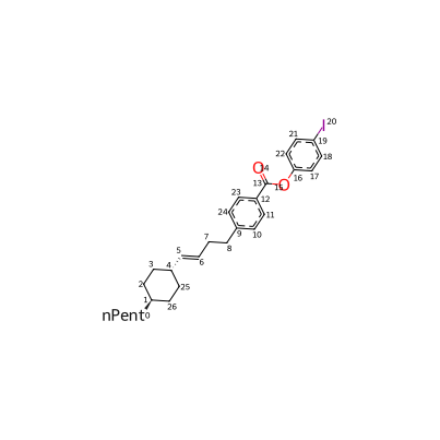 CCCCC[C@H]1CC[C@H](/C=C/CCc2ccc(C(=O)Oc3ccc(I)cc3)cc2)CC1